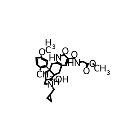 COC(=O)CNC(=O)c1cc2c([nH]c1=O)C[C@@]1(c3cc(OC)ccc3C)CC3CN(CC4CC4)[C@H]3[C@]1(O)C2